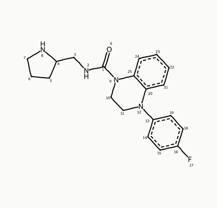 O=C(NCC1CCCN1)N1CCN(c2ccc(F)cc2)c2ccccc21